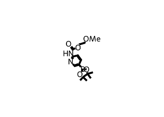 COCCOC(=O)Nc1ccc(B2OC(C)(C)C(C)(C)O2)cn1